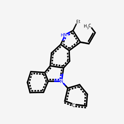 C/C=C\c1c(CC)[nH]c2cc3c4ccccc4n(-c4ccccc4)c3cc12